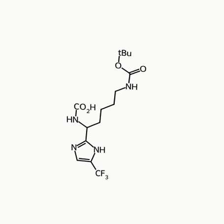 CC(C)(C)OC(=O)NCCCCC(NC(=O)O)c1ncc(C(F)(F)F)[nH]1